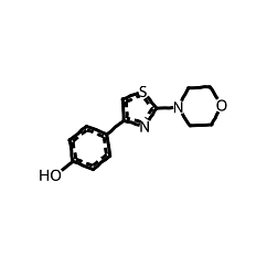 Oc1ccc(-c2csc(N3CCOCC3)n2)cc1